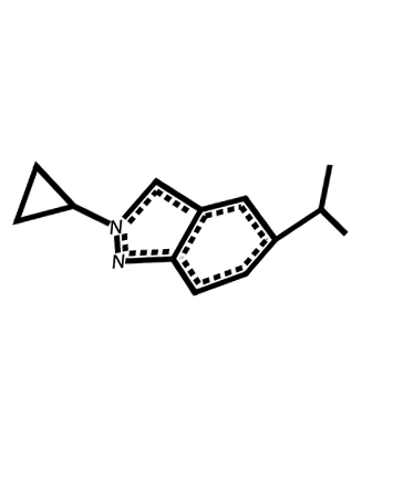 CC(C)c1ccc2nn(C3CC3)cc2c1